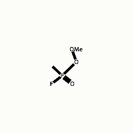 COOP(C)(=O)F